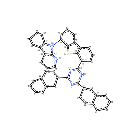 c1ccc2cc(-c3nc(-c4ccc5ccccc5c4)nc(-c4cccc5c4sc4c(-n6c7ccccc7c7cccnc76)cccc45)n3)ccc2c1